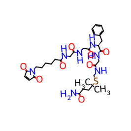 CC(C)(CCC(N)=O)SCNC(=O)CNC(=O)[C@H](Cc1ccccc1)NC(=O)CNC(=O)CNC(=O)CCCCCN1C(=O)C=CC1=O